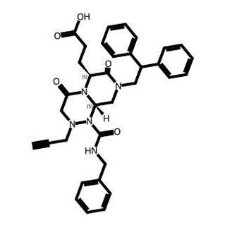 C#CCN1CC(=O)N2[C@@H](CCC(=O)O)C(=O)N(CC(c3ccccc3)c3ccccc3)C[C@@H]2N1C(=O)NCc1ccccc1